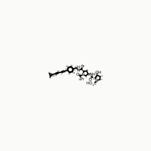 CC(C)C(=O)N1C[C@H](NC(=O)[C@@H]2[C@H](O)CCN2C(=O)O)C[C@@H]1C(=O)NCc1ccc(C#CC#CC2CC2)cc1